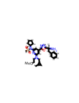 COCCN(CC1CC1C)c1cc(-c2nnc([C@](C)(N)Cc3ccccc3)o2)cc(N(C2CCCC2)S(C)(=O)=O)n1